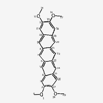 COc1cc2cc3cc4cc5cc(OC)c(OC)cc5cc4cc3cc2cc1OC